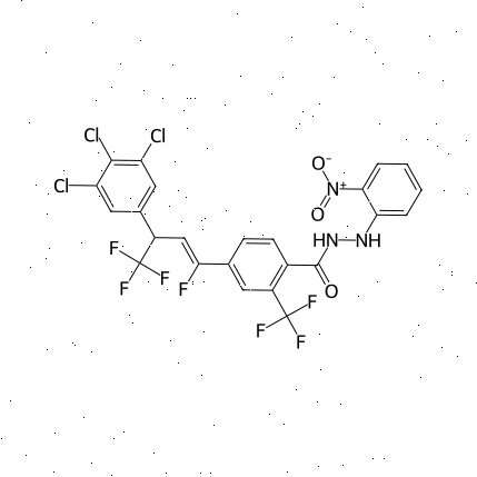 O=C(NNc1ccccc1[N+](=O)[O-])c1ccc(C(F)=CC(c2cc(Cl)c(Cl)c(Cl)c2)C(F)(F)F)cc1C(F)(F)F